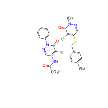 CC(C)(C)c1ccc(CSc2cnn(C(C)(C)C)c(=O)c2Cl)cc1.O=C(O)C(=O)Nc1cnn(-c2ccccc2)c(=O)c1Br